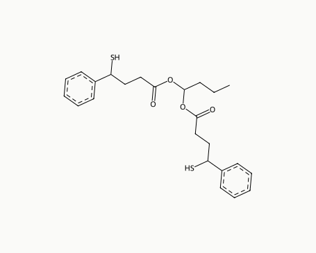 CCCC(OC(=O)CCC(S)c1ccccc1)OC(=O)CCC(S)c1ccccc1